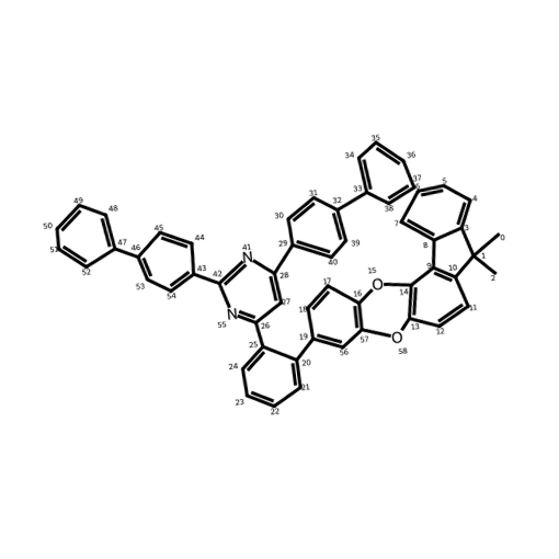 CC1(C)c2ccccc2-c2c1ccc1c2Oc2ccc(-c3ccccc3-c3cc(-c4ccc(-c5ccccc5)cc4)nc(-c4ccc(-c5ccccc5)cc4)n3)cc2O1